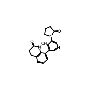 CN1C(=O)CCc2cccc(-c3cncc(N4CCCC4=O)c3)c21